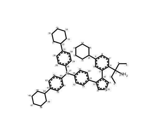 CCC(N)(CC)c1ccc(C2CCCCC2)cc1-c1cscc1-c1ccc(N(c2ccc(C3CCCCC3)cc2)c2ccc(C3CCCCC3)cc2)cc1